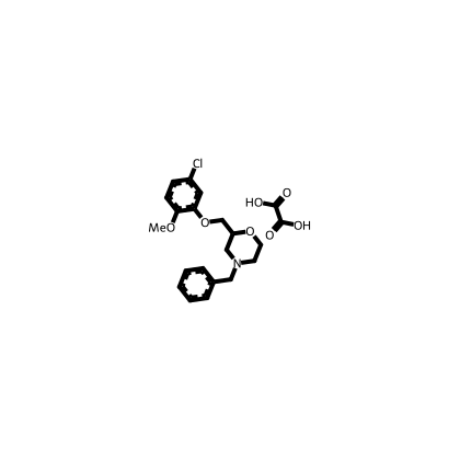 COc1ccc(Cl)cc1OCC1CN(Cc2ccccc2)CCO1.O=C(O)C(=O)O